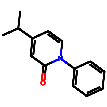 CC(C)c1ccn(-c2ccccc2)c(=O)c1